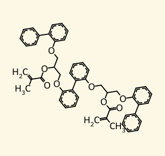 C=C(C)C(=O)OC(COc1ccccc1-c1ccccc1)COc1ccccc1-c1ccccc1OCC(COc1ccccc1-c1ccccc1)OC(=O)C(=C)C